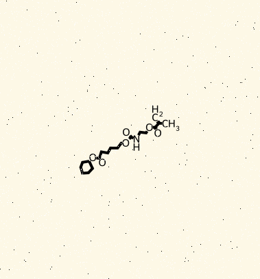 C=C(C)C(=O)OCCNC(=O)OCCCCCC(=O)OC1CCCCC1